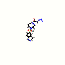 CC1CN(C(=O)CN)CCCN1S(=O)(=O)c1ccc2cnccc2c1